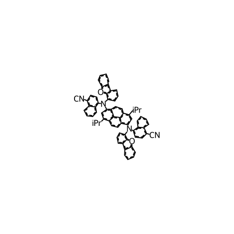 [C-]#[N+]c1ccc(N(c2cc(C(C)C)c3ccc4c(N(c5ccc(C#N)c6ccccc56)c5cccc6c5oc5ccccc56)cc(C(C)C)c5ccc2c3c54)c2cccc3c2oc2ccccc23)c2ccccc12